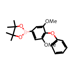 COc1cc(B2OC(C)(C)C(C)(C)O2)cc(OC)c1Oc1ccccc1